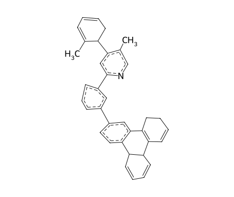 CC1=CC=CCC1c1cc(-c2cccc(-c3ccc4c(c3)C3=C(C=CCC3)C3C=CC=CC43)c2)ncc1C